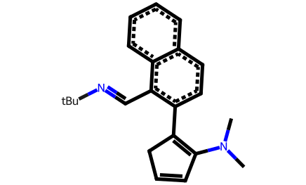 CN(C)C1=C(c2ccc3ccccc3c2C=NC(C)(C)C)CC=C1